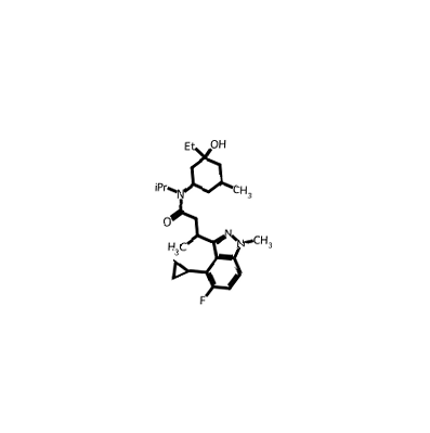 CCC1(O)CC(C)CC(N(C(=O)CC(C)c2nn(C)c3ccc(F)c(C4CC4)c23)C(C)C)C1